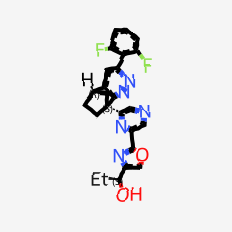 CC[C@H](O)c1coc(-c2cncc([C@]34CC[C@H](C3)c3cc(-c5c(F)cccc5F)nnc34)n2)n1